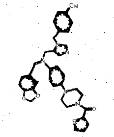 N#Cc1ccc(Cn2cncc2CN(Cc2ccc3c(c2)OCO3)c2ccc(N3CCN(C(=O)c4cccs4)CC3)cc2)cc1